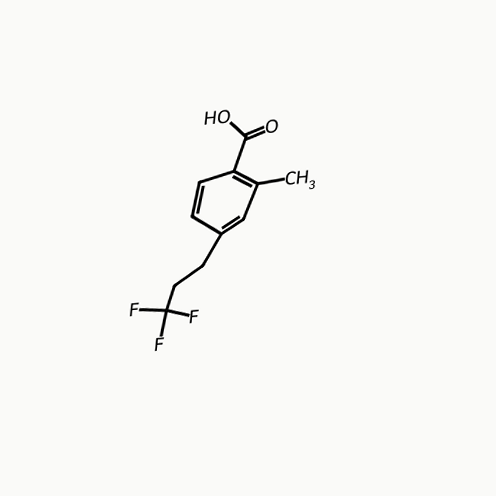 Cc1cc(CCC(F)(F)F)ccc1C(=O)O